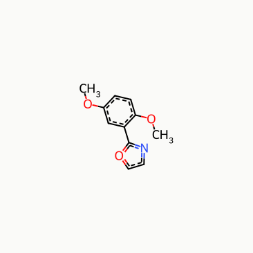 COc1ccc(OC)c(-c2ncco2)c1